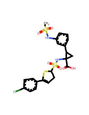 CS(=O)(=O)Nc1cccc(C2CC2(NS(=O)(=O)C2CC=C(c3ccc(Cl)cc3)S2)C(=O)O)c1